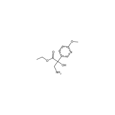 CCOC(=O)C(O)(CN)c1ccc(OC)nc1